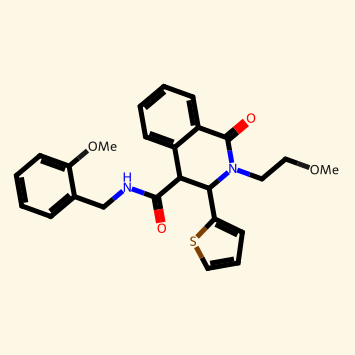 COCCN1C(=O)c2ccccc2C(C(=O)NCc2ccccc2OC)C1c1cccs1